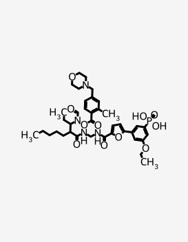 CCCCCC(C(=O)NCNC(=O)c1ccc(-c2cc(OCC)cc(P(=O)(O)O)c2)o1)C(CC)N(C=O)OC(=O)c1ccc(CN2CCOCC2)cc1C